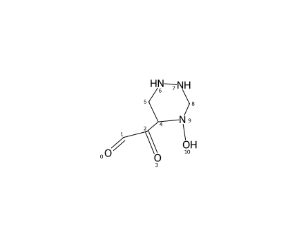 O=CC(=O)C1CNNCN1O